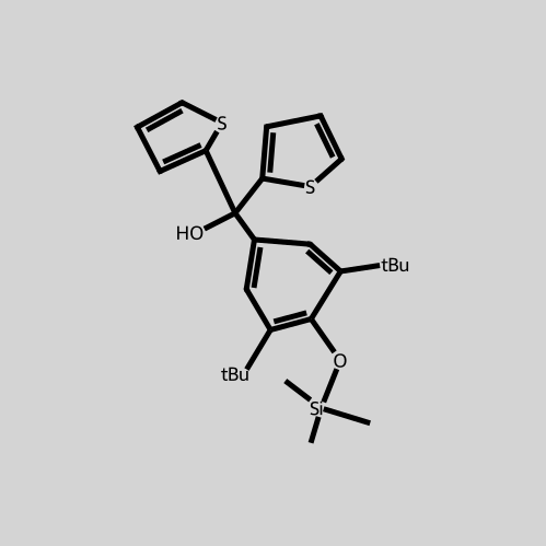 CC(C)(C)c1cc(C(O)(c2cccs2)c2cccs2)cc(C(C)(C)C)c1O[Si](C)(C)C